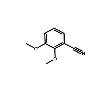 COc1cccc(C#N)c1OC